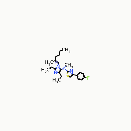 C=Cc1nc(CC)c(N(C)c2nc(-c3ccc(F)cc3)cs2)n1/C=C(\C)CCCC